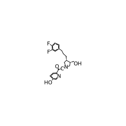 O=C(CN1C[C@@H](CCCc2ccc(F)c(F)c2)[C@@H](CO)C1)c1ccc(O)cn1